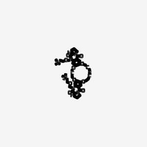 C[Si](C)(C)CCOCN1C(=O)[C@@H]2CCCN2C(=O)c2cc3c(cc21)OCCCOc1cc2c(cc1OCCCCCCCO3)C(=O)N1CCC[C@H]1C(=O)N2COCC[Si](C)(C)C